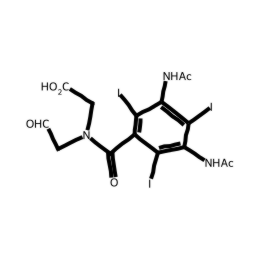 CC(=O)Nc1c(I)c(NC(C)=O)c(I)c(C(=O)N(CC=O)CC(=O)O)c1I